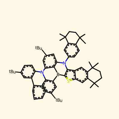 CC(C)(C)c1ccc2c(c1)B1c3sc4cc5c(cc4c3N(c3ccc4c(c3)C(C)(C)CCC4(C)C)c3cc(C(C)(C)C)cc(c31)N2c1ccc(C(C)(C)C)cc1-c1ccccc1)C(C)(C)CCC5(C)C